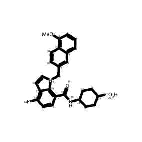 COc1cccc2cc(Cn3ccc4c(F)ccc(C(=O)NC5CCC(C(=O)O)CC5)c43)ccc12